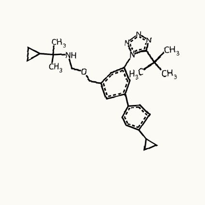 CC(C)(C)c1nnnn1-c1cc(COCNC(C)(C)C2CC2)cc(-c2ccc(C3CC3)cc2)c1